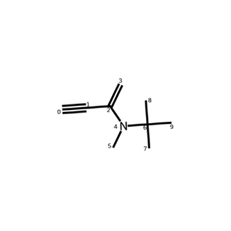 C#CC(=C)N(C)C(C)(C)C